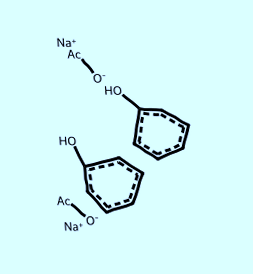 CC(=O)[O-].CC(=O)[O-].Oc1ccccc1.Oc1ccccc1.[Na+].[Na+]